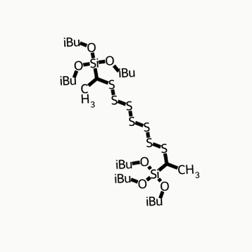 CCC(C)O[Si](OC(C)CC)(OC(C)CC)C(C)SSSSSSSC(C)[Si](OC(C)CC)(OC(C)CC)OC(C)CC